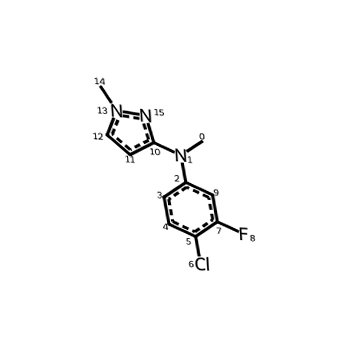 CN(c1ccc(Cl)c(F)c1)c1ccn(C)n1